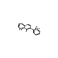 Cc1c(-c2cccc[n+]2C)ccc2cccnc12